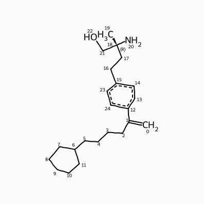 C=C(CCCCC1CCCCC1)c1ccc(CC[C@@](C)(N)CO)cc1